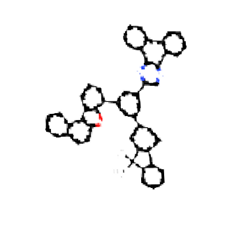 CC1(C)c2ccccc2-c2ccc(-c3cc(-c4cnc5c6ccccc6c6ccccc6c5n4)cc(-c4cccc5c4oc4ccc6ccccc6c45)c3)cc21